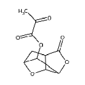 CC(=O)C(=O)OC1C2CC3C(=O)OC1C3O2